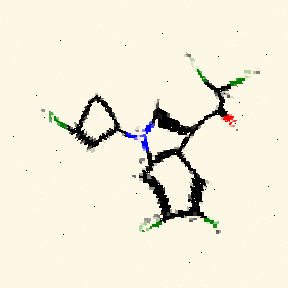 O=C(c1cn(C2CC(F)C2)c2cc(Br)c(F)cc12)C(F)F